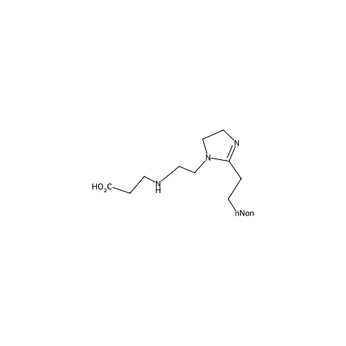 CCCCCCCCCCCC1=NCCN1CCNCCC(=O)O